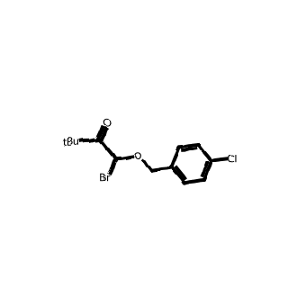 CC(C)(C)C(=O)C(Br)OCc1ccc(Cl)cc1